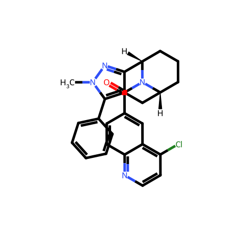 Cn1nc2c(c1-c1ccccc1)C[C@H]1CCC[C@@H]2N1C(=O)c1ccc2nccc(Cl)c2c1